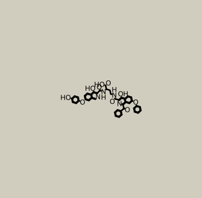 O=C(NC(CCNC(=O)c1nc(C(=O)c2ccccc2)c2cc(Oc3ccccc3)ccc2c1O)C(=O)O)c1ncc2cc(Oc3ccc(O)cc3)ccc2c1O